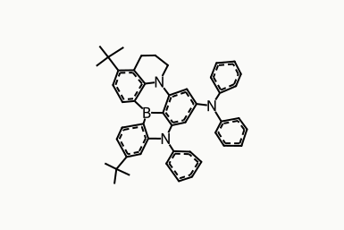 CC(C)(C)c1ccc2c(c1)N(c1ccccc1)c1cc(N(c3ccccc3)c3ccccc3)cc3c1B2c1ccc(C(C)(C)C)c2c1N3CCC2